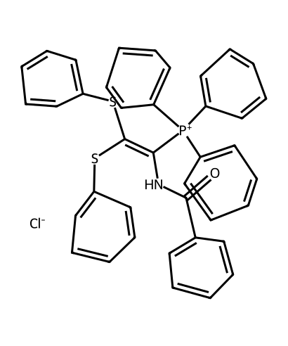 O=C(NC(=C(Sc1ccccc1)Sc1ccccc1)[P+](c1ccccc1)(c1ccccc1)c1ccccc1)c1ccccc1.[Cl-]